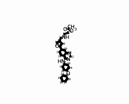 CS(=O)(=O)CCNCc1coc(-c2ccc3c(Nc4ccc(Oc5ccccc5)cc4)ncnc3c2)c1